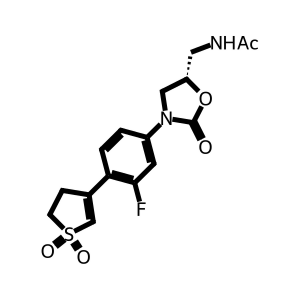 CC(=O)NC[C@H]1CN(c2ccc(C3=CS(=O)(=O)CC3)c(F)c2)C(=O)O1